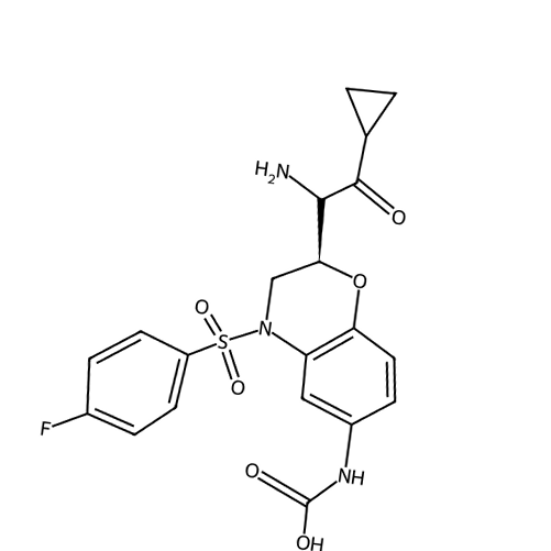 NC(C(=O)C1CC1)[C@@H]1CN(S(=O)(=O)c2ccc(F)cc2)c2cc(NC(=O)O)ccc2O1